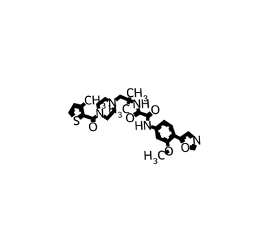 COc1cc(NC(=O)C(=O)NC(C)(C)CN2CCN(C(=O)c3sccc3C)CC2)ccc1-c1cnco1